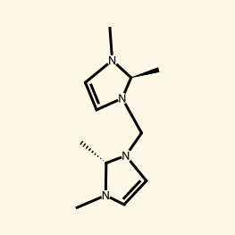 C[C@@H]1N(C)C=CN1CN1C=CN(C)[C@@H]1C